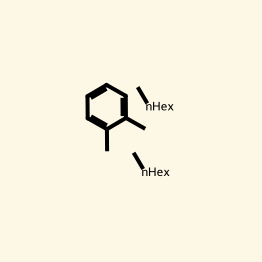 CCCCCCC.CCCCCCC.Cc1ccccc1C